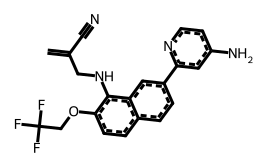 C=C(C#N)CNc1c(OCC(F)(F)F)ccc2ccc(-c3cc(N)ccn3)cc12